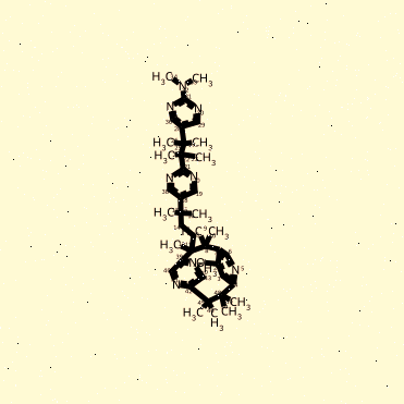 COc1cc2ncc1C(C)(C)C(C)(CCC(C)(C)c1cnc(C(C)(C)C(C)(C)c3cnc(N(C)C)nc3)nc1)c1cnc(cn1)C(C)(C)C2(C)C